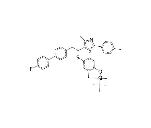 Cc1ccc(-c2nc(C)c(C(Cc3ccc(-c4ccc(F)cc4)cc3)Sc3ccc(O[Si](C)(C)C(C)(C)C)c(C)c3)s2)cc1